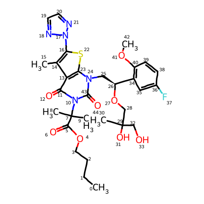 CCCCOC(=O)C(C)(C)n1c(=O)c2c(C)c(-n3nccn3)sc2n(C[C@H](OCC(C)(O)CO)c2cc(F)ccc2OC)c1=O